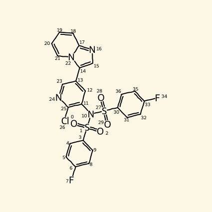 O=S(=O)(c1ccc(F)cc1)N(c1cc(-c2cnc3ccccn23)cnc1Cl)S(=O)(=O)c1ccc(F)cc1